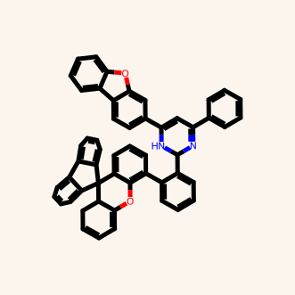 C1=CCC2C(=C1)Oc1c(-c3ccccc3C3N=C(c4ccccc4)C=C(c4ccc5c(c4)oc4ccccc45)N3)cccc1C21c2ccccc2-c2ccccc21